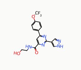 O=C(NCCO)c1cc(-c2ccc(OC(F)(F)F)cc2)nc(-c2cn[nH]c2)n1